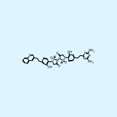 Nc1nc(N)nc(CCc2ccc(N3CC(=O)N(N4C(=O)CN(c5ccc(CCc6cnc7ccccc7c6)cc5O)S4(=O)=O)S3(=O)=O)c(O)c2)n1